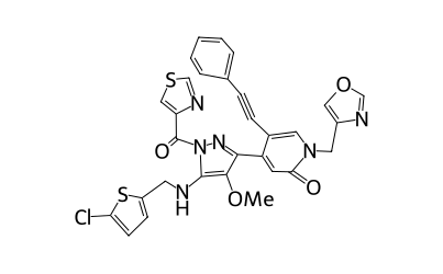 COc1c(-c2cc(=O)n(Cc3cocn3)cc2C#Cc2ccccc2)nn(C(=O)c2cscn2)c1NCc1ccc(Cl)s1